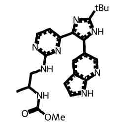 COC(=O)NC(C)CNc1nccc(-c2nc(C(C)(C)C)[nH]c2-c2cnc3[nH]ccc3c2)n1